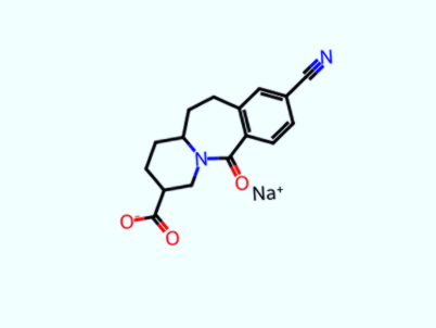 N#Cc1ccc2c(c1)CCC1CCC(C(=O)[O-])CN1C2=O.[Na+]